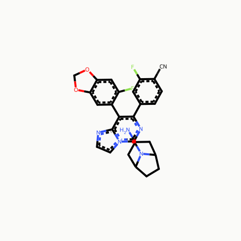 N#Cc1ccc(-c2nc(N3C4CCC3CC(N)C4)n3ccnc3c2-c2cc3c(cc2F)OCO3)cc1F